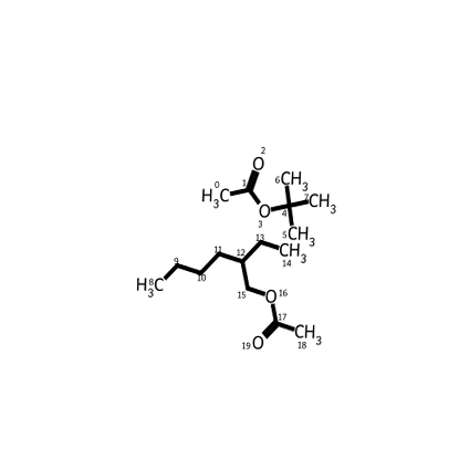 CC(=O)OC(C)(C)C.CCCCC(CC)COC(C)=O